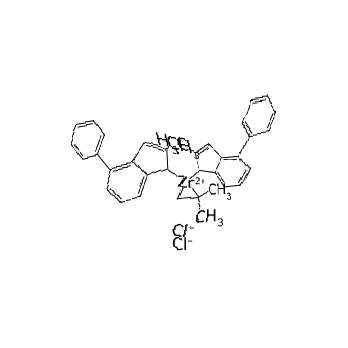 CC1=Cc2c(-c3ccccc3)cccc2[CH]1[Zr+2]1([CH]2C(C)=Cc3c(-c4ccccc4)cccc32)[CH2][C]1(C)C.[Cl-].[Cl-]